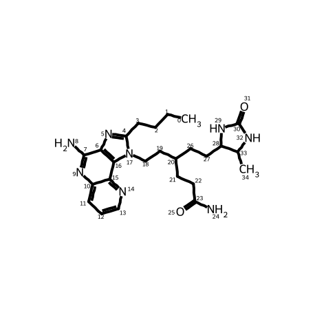 CCCCc1nc2c(N)nc3cccnc3c2n1CCC(CCC(N)=O)CCC1NC(=O)NC1C